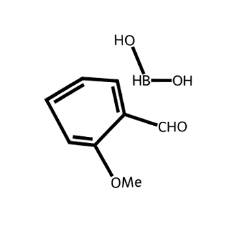 COc1ccccc1C=O.OBO